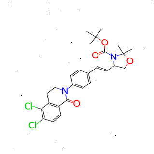 CC(C)(C)OC(=O)N1C(C=Cc2ccc(N3CCc4c(ccc(Cl)c4Cl)C3=O)cc2)COC1(C)C